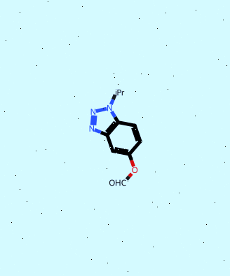 CC(C)n1nnc2cc(OC=O)ccc21